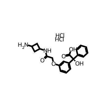 Cl.Cl.NC1CC(NC(=O)COc2cccc([C@](O)(C(=O)O)c3ccccc3)c2)C1